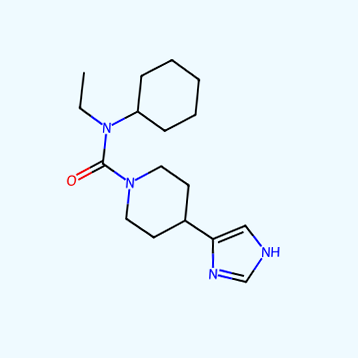 CCN(C(=O)N1CCC(c2c[nH]cn2)CC1)C1CCCCC1